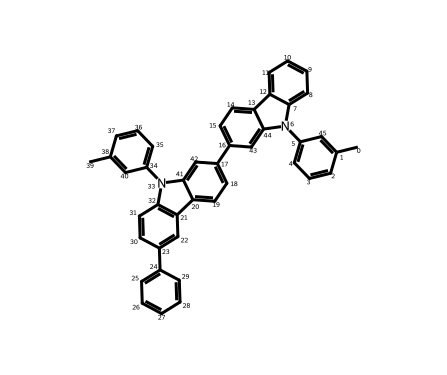 Cc1cccc(-n2c3ccccc3c3ccc(-c4ccc5c6cc(-c7ccccc7)ccc6n(-c6cccc(C)c6)c5c4)cc32)c1